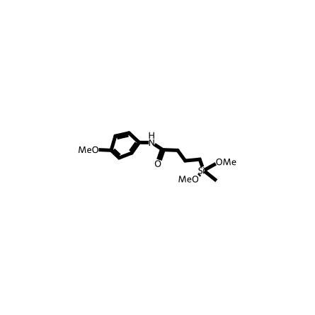 COc1ccc(NC(=O)CCC[Si](C)(OC)OC)cc1